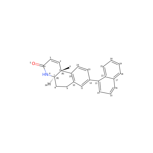 C[C@]12C=CC(=O)N[C@@H]1CCc1cc(-c3cccc4ccccc34)ccc12